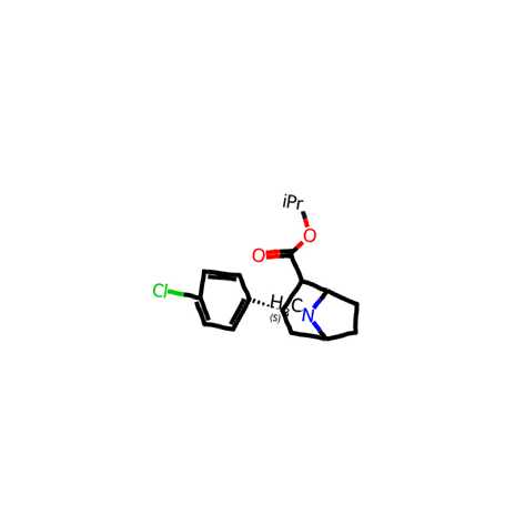 CC(C)OC(=O)C1C2CCC(C[C@@H]1c1ccc(Cl)cc1)N2C